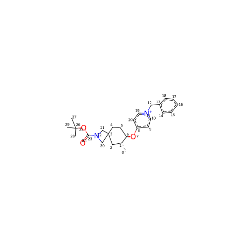 C[C@@H]1CC2(CC[C@H]1Oc1cc[n+](Cc3ccccc3)cc1)CN(C(=O)OC(C)(C)C)C2